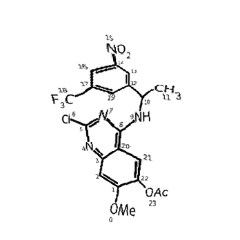 COc1cc2nc(Cl)nc(NC(C)c3cc([N+](=O)[O-])cc(C(F)(F)F)c3)c2cc1OC(C)=O